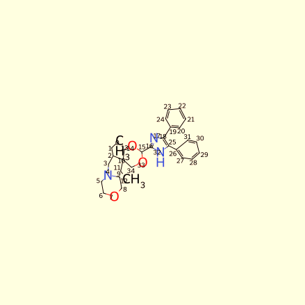 CCC(CN1CCOCC1)C1(CC)COC(c2nc(-c3ccccc3)c(-c3ccccc3)[nH]2)OC1